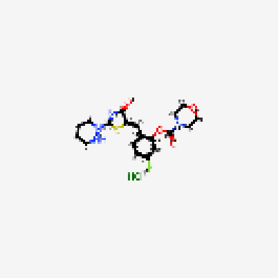 Cl.O=C1N=C(N2CCCCN2)SC1=Cc1ccc(F)cc1OC(=O)N1CCOCC1